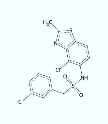 Cc1nc2c(Cl)c(NS(=O)(=O)Cc3cccc(Cl)c3)ccc2s1